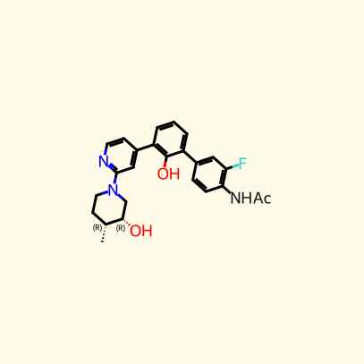 CC(=O)Nc1ccc(-c2cccc(-c3ccnc(N4CC[C@@H](C)[C@@H](O)C4)c3)c2O)cc1F